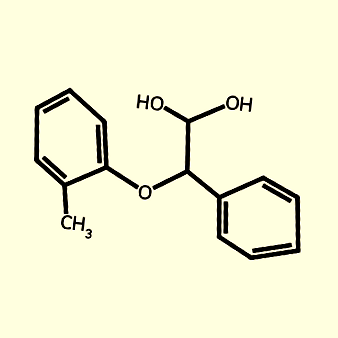 Cc1ccccc1OC(c1ccccc1)C(O)O